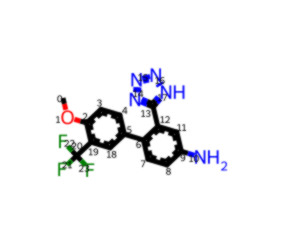 COc1ccc(-c2ccc(N)cc2-c2nnn[nH]2)cc1C(F)(F)F